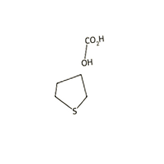 C1CCSC1.O=C(O)O